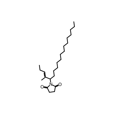 CC/C=C(\C)C(CCCCCCCCCCCCCC)N1C(=O)CCC1=O